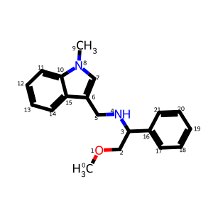 COCC(NCc1cn(C)c2ccccc12)c1ccccc1